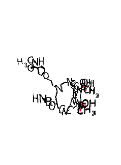 CNC(=O)c1ccc(OCCCN2CCC(OB=N)CCN3CCN(B(C)O)CCN(B(C)O)CCN(CC2)CCN(B(C)O)CCN(B(C)O)CC3)cc1